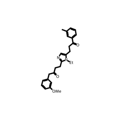 CCn1c(CCC(=O)c2cccc(C)c2)cnc1CCC(=O)Cc1cccc(OC)c1